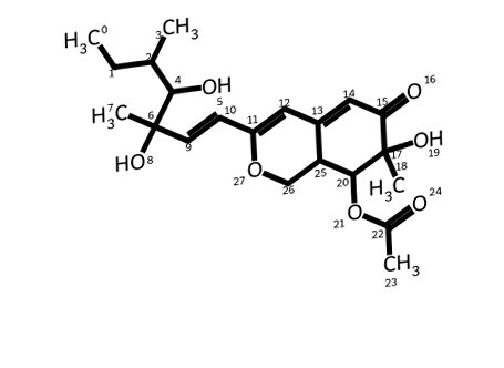 CCC(C)C(O)C(C)(O)/C=C/C1=CC2=CC(=O)C(C)(O)C(OC(C)=O)C2CO1